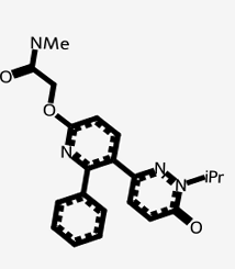 CNC(=O)COc1ccc(-c2ccc(=O)n(C(C)C)n2)c(-c2ccccc2)n1